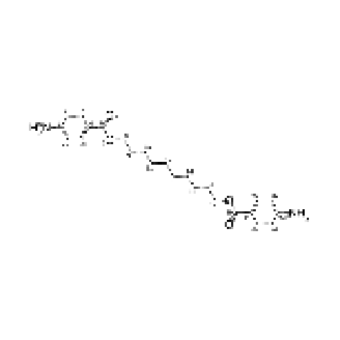 Nc1ccc(C(=O)OCCCCCCCCCCOC(=O)c2ccc(N)cc2)cc1